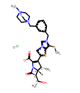 CSc1c2sc(C3=C(C(=O)[O-])N4C(=O)[C@H]([C@@H](C)O)[C@H]4[C@H]3C)c[n+]2cn1Cc1cccc(C[N+]23CC[N+](C)(CC2)CC3)c1.[Cl-].[Cl-]